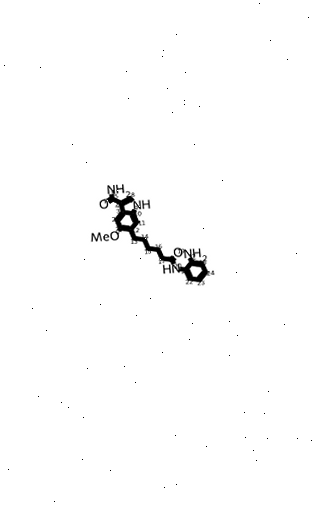 COc1cc2c(C(N)=O)c[nH]c2cc1CCCCCC(=O)Nc1ccccc1N